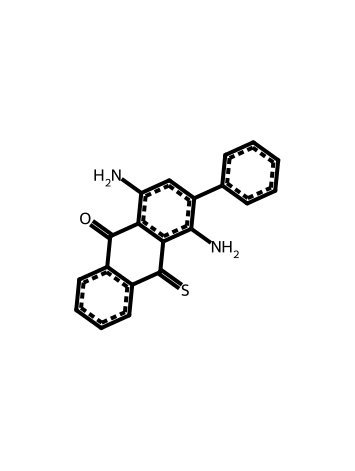 Nc1cc(-c2ccccc2)c(N)c2c1C(=O)c1ccccc1C2=S